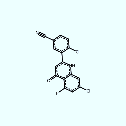 N#Cc1ccc(Cl)c(-c2cc(=O)c3c(F)cc(Cl)cc3[nH]2)c1